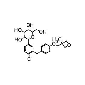 CC1(COc2ccc(Cc3cc([C@@H]4OC(CO)[C@@H](O)[C@H](O)[C@H]4O)ccc3Cl)cc2)COC1